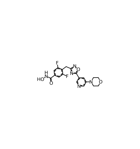 O=C(NO)c1cc(F)c(Cc2noc(-c3cncc(N4CCOCC4)c3)n2)c(F)c1